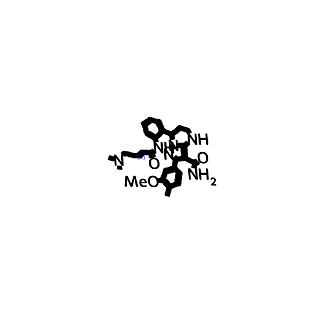 COc1cc(-c2nn3c(c2C(N)=O)NCCC3c2ccccc2NC(=O)/C=C/CN(C)C)ccc1C